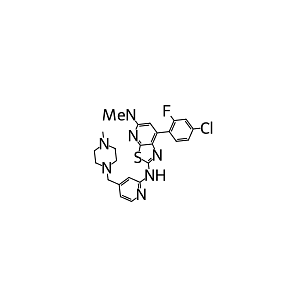 CNc1cc(-c2ccc(Cl)cc2F)c2nc(Nc3cc(CN4CCN(C)CC4)ccn3)sc2n1